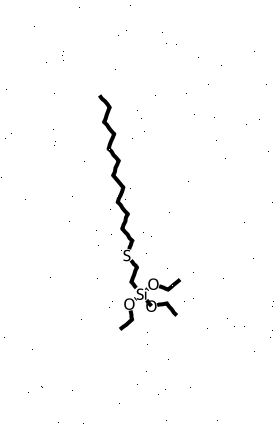 CCCCCCCCCCCCSCC[Si](OCC)(OCC)OCC